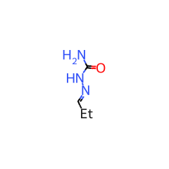 CC/C=N/NC(N)=O